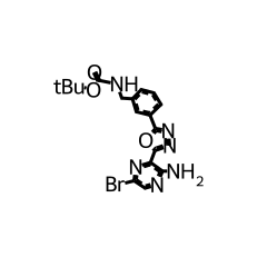 CC(C)(C)OC(=O)NCc1cccc(-c2nnc(-c3nc(Br)cnc3N)o2)c1